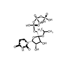 CC(C)O[C@]1(COP(=O)(O)OP(=O)(O)OP(=O)(O)O)O[C@@H](n2ccc(=O)[nH]c2=O)[C@H](O)[C@@H]1O